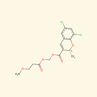 O=C(CCO[N+](=O)[O-])OCOC(=O)C1=Cc2cc(Cl)cc(Cl)c2O[C@@H]1C(F)(F)F